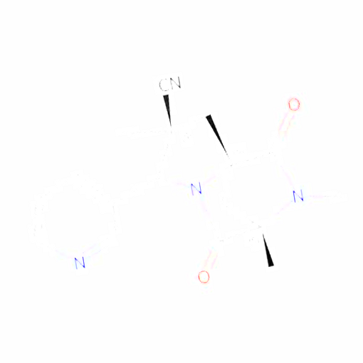 CN1C(=O)[C@@]23C[C@](C)(C#N)C(c4cccnc4)N2C(=O)[C@]1(C)C3